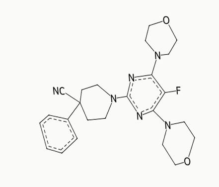 N#CC1(c2ccccc2)CCN(c2nc(N3CCOCC3)c(F)c(N3CCOCC3)n2)CC1